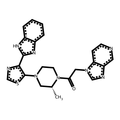 C[C@@H]1CN(c2scnc2-c2nc3ccccc3[nH]2)CCN1C(=O)Cn1cnc2cnccc21